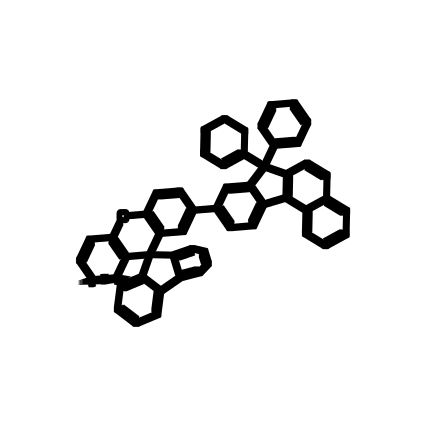 C1=CCCC(C2(c3ccccc3)c3cc(-c4ccc5c(c4)C4(c6ccccc6-c6ccccc64)c4c(ccc6ccccc46)O5)ccc3-c3c2ccc2ccccc32)=C1